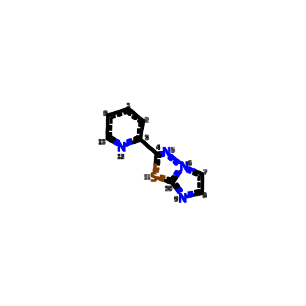 c1ccc(-c2nn3ccnc3s2)nc1